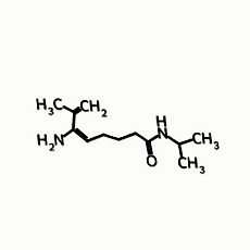 C=C(C)/C(N)=C\CCCC(=O)NC(C)C